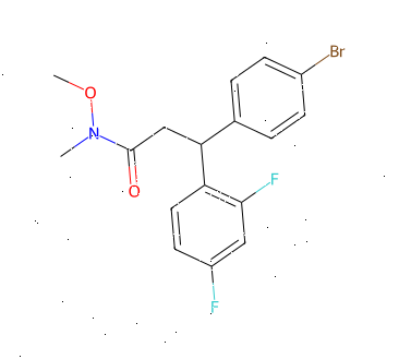 CON(C)C(=O)CC(c1ccc(Br)cc1)c1ccc(F)cc1F